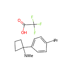 CNC1(c2ccc(C(C)C)cc2)CCC1.O=C(O)C(F)(F)F